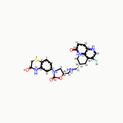 O=C1CSc2ccc(N3C[C@@H](CNC[C@H]4Cc5c(F)cnc6ccc(=O)n(c56)C4)OC3=O)cc2N1